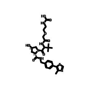 Cc1ncsc1-c1ccc(CNC(=O)[C@@H]2C[C@@H](O)CN2C(=O)C(NC(=O)COCCNC(=O)O)C(C)(C)C)cc1